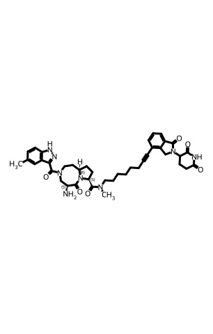 Cc1ccc2[nH]nc(C(=O)N3CC[C@H]4CC[C@@H](C(=O)N(C)CCCCCCC#Cc5cccc6c5CN(C5CCC(=O)NC5=O)C6=O)N4C(=O)[C@@H](N)C3)c2c1